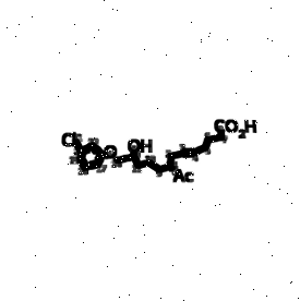 CC(=O)C(CC#CCCCC(=O)O)CCCC(O)COc1cccc(Cl)c1